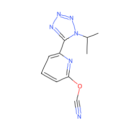 CC(C)n1nnnc1-c1cccc(OC#N)n1